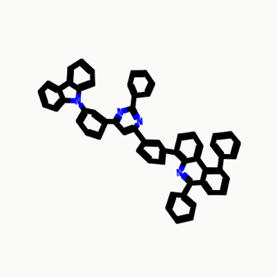 c1ccc(-c2nc(-c3cccc(-c4cccc5c4nc(-c4ccccc4)c4cccc(-c6ccccc6)c45)c3)cc(-c3cccc(-n4c5ccccc5c5ccccc54)c3)n2)cc1